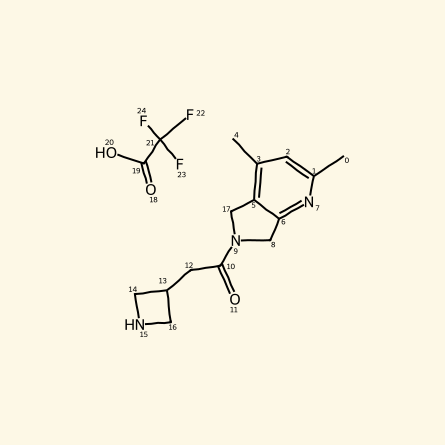 Cc1cc(C)c2c(n1)CN(C(=O)CC1CNC1)C2.O=C(O)C(F)(F)F